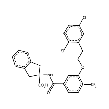 O=C(NC1(C(=O)O)Cc2ccccc2C1)c1ccc(C(F)(F)F)c(OCCc2cc(Cl)ccc2Cl)c1